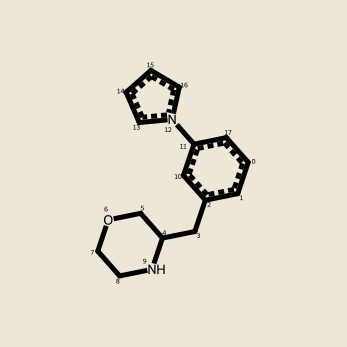 c1cc(CC2COCCN2)cc(-n2cccc2)c1